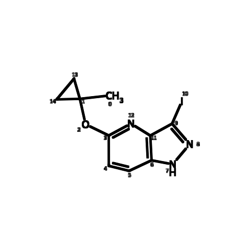 CC1(Oc2ccc3[nH]nc(I)c3n2)CC1